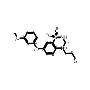 COc1cccc(Oc2ccc3c(c2)S(=O)(=O)NCN3CCF)c1